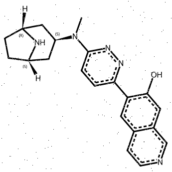 CN(c1ccc(-c2cc3ccncc3cc2O)nn1)[C@@H]1C[C@H]2CC[C@@H](C1)N2